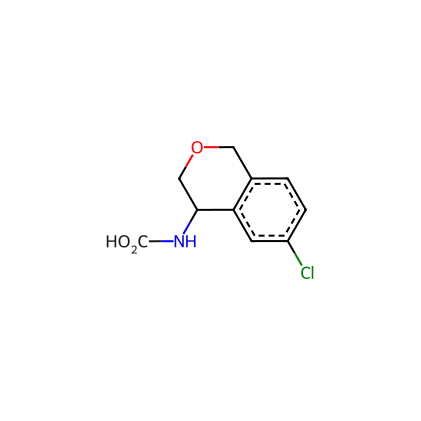 O=C(O)NC1COCc2ccc(Cl)cc21